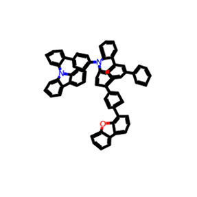 c1ccc(-c2cccc(-c3ccccc3N(c3ccc(-c4ccc(-c5cccc6c5oc5ccccc56)cc4)cc3)c3ccc(-c4ccccc4-n4c5ccccc5c5ccccc54)cc3)c2)cc1